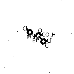 CCn1c(Nc2ccc(Cl)cc2F)cc(=O)c(C(=O)O)c1-c1ccc(Cl)c(Cl)c1